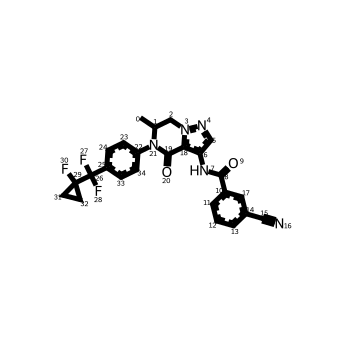 CC1Cn2ncc(NC(=O)c3cccc(C#N)c3)c2C(=O)N1c1ccc(C(F)(F)C2(F)CC2)cc1